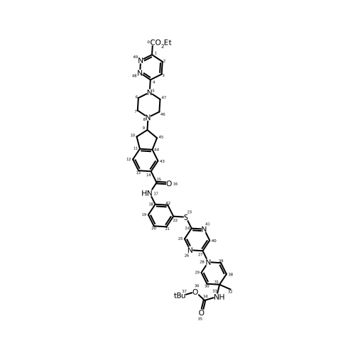 CCOC(=O)c1ccc(N2CCN(C3Cc4ccc(C(=O)Nc5cccc(Sc6cnc(N7C=CC(C)(NC(=O)OC(C)(C)C)C=C7)cn6)c5)cc4C3)CC2)nn1